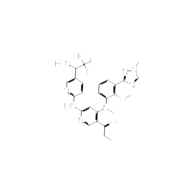 CCC(=O)c1cnc(Nc2ccc(C(N)C(F)(F)F)cn2)cc1N(C)c1cccc(-c2ncn(C)n2)c1OC